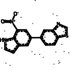 O=[N+]([O-])c1cc(-c2ccc3scnc3c2)cc2cc[nH]c12